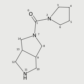 O=C(N1CCCC1)N1CC2CNCC2C1